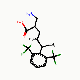 CC(CC(CN)C(=O)O)C(C)c1c(C(F)(F)F)cccc1C(F)(F)F